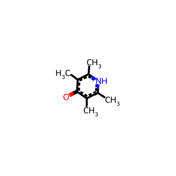 Cc1[nH]c(C)c(C)c(=O)c1C